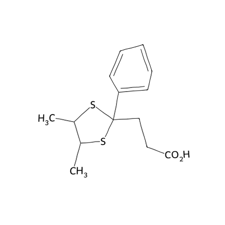 CC1SC(CCC(=O)O)(c2ccccc2)SC1C